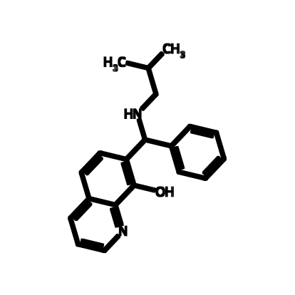 CC(C)CNC(c1ccccc1)c1ccc2cccnc2c1O